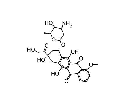 COc1cccc2c1C(=O)c1c(O)c3c(c(O)c1C2=O)C[C@@](O)(C(=O)CO)C[C@@H]3O[C@@H]1C[C@H](N)[C@H](O)[C@H](C)O1